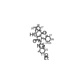 CCOc1ccc2nc(N3C(=O)C(O)=C(C(=O)c4ccc(C)o4)C3c3ccccc3)sc2c1